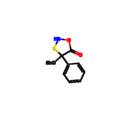 COC1(c2ccccc2)SNOC1=O